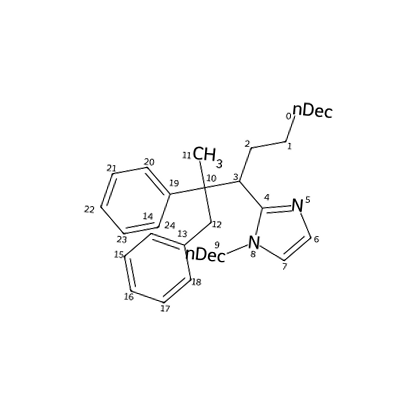 CCCCCCCCCCCCC(c1nccn1CCCCCCCCCC)C(C)(Cc1ccccc1)c1ccccc1